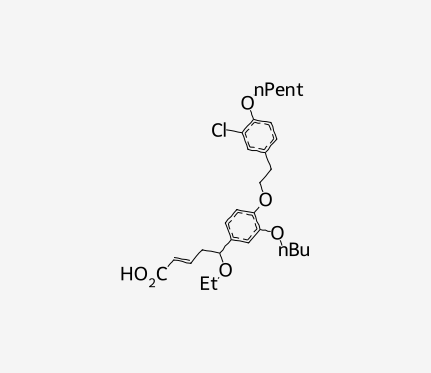 CCCCCOc1ccc(CCOc2ccc(C(CC=CC(=O)O)OCC)cc2OCCCC)cc1Cl